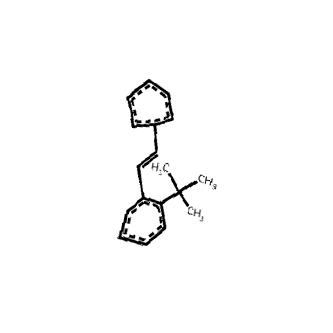 CC(C)(C)c1ccccc1/C=C/c1ccccc1